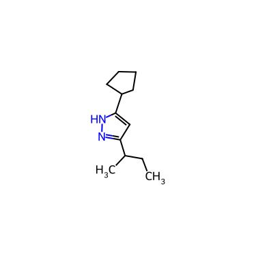 CCC(C)c1cc(C2CCCC2)[nH]n1